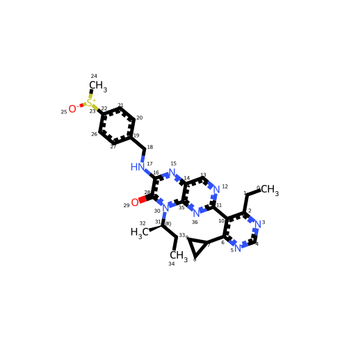 CCc1ncnc(C2CC2)c1-c1ncc2nc(NCc3ccc([S+](C)[O-])cc3)c(=O)n([C@H](C)CC)c2n1